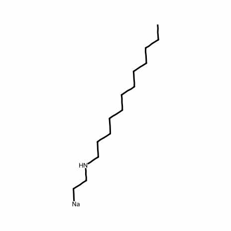 CCCCCCCCCCCCNC[CH2][Na]